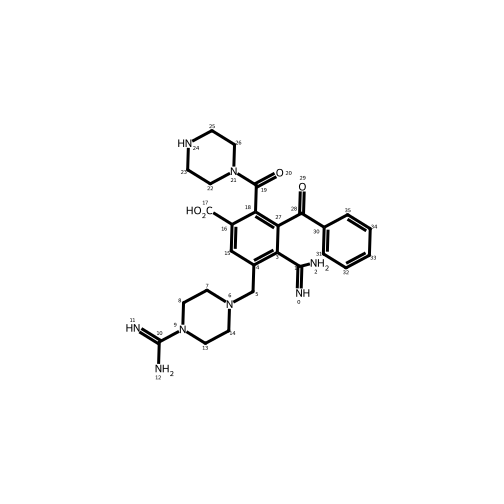 N=C(N)c1c(CN2CCN(C(=N)N)CC2)cc(C(=O)O)c(C(=O)N2CCNCC2)c1C(=O)c1ccccc1